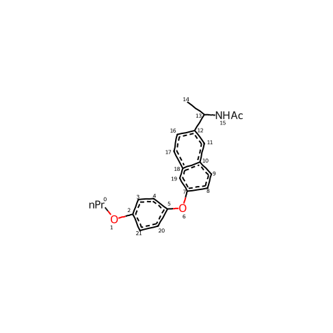 CCCOc1ccc(Oc2ccc3cc(C(C)NC(C)=O)ccc3c2)cc1